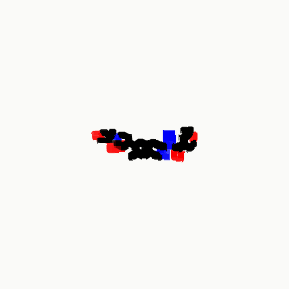 Cc1cc2cnc(NC(=O)C3CCOC(C)(C)C3)cc2cc1C1CCN(C2(C)COCC2O)CC1